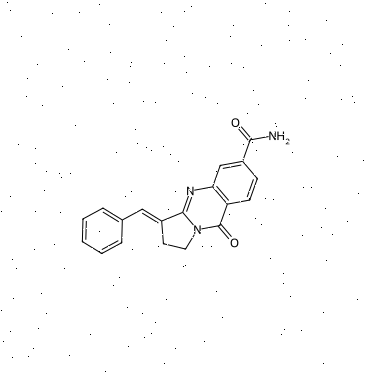 NC(=O)c1ccc2c(=O)n3c(nc2c1)/C(=C/c1ccccc1)CC3